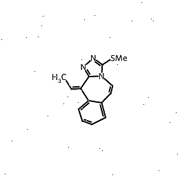 CC=C1c2ccccc2C=Cn2c(SC)nnc21